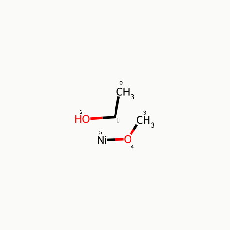 CCO.C[O][Ni]